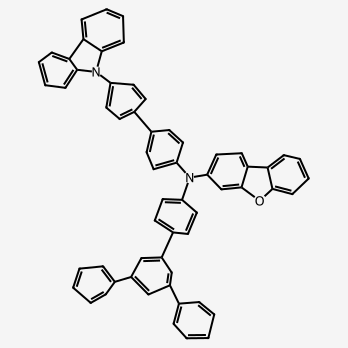 c1ccc(-c2cc(-c3ccccc3)cc(-c3ccc(N(c4ccc(-c5ccc(-n6c7ccccc7c7ccccc76)cc5)cc4)c4ccc5c(c4)oc4ccccc45)cc3)c2)cc1